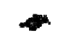 Cl.Cl.N=C(N)c1ccc2c(c1)nc(CN(C(=O)c1ccccc1C(=O)O)c1ccc(OC3CCN(/C(N)=N/Cc4ccccc4)CC3)cc1)n2C(C(N)=O)C1CCCCC1